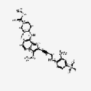 COc1cc(S(C)(=O)=O)ccc1NCC#Cc1nc2c(N[C@@H]3CCN(C(=O)OC(C)(C)C)C[C@@H]3F)cccn2c1SC(F)(F)F